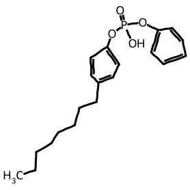 CCCCCCCCc1ccc(OP(=O)(O)Oc2ccccc2)cc1